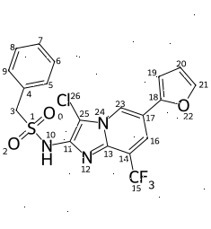 O=S(=O)(Cc1ccccc1)Nc1nc2c(C(F)(F)F)cc(-c3ccco3)cn2c1Cl